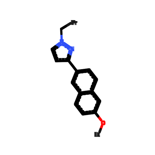 CCOc1ccc2cc(-c3ccn(CC(C)C)n3)ccc2c1